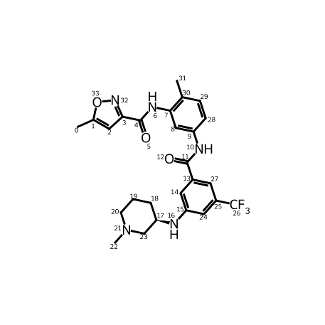 Cc1cc(C(=O)Nc2cc(NC(=O)c3cc(N[C@@H]4CCCN(C)C4)cc(C(F)(F)F)c3)ccc2C)no1